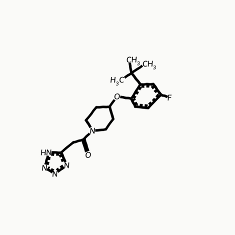 CC(C)(C)c1cc(F)ccc1OC1CCN(C(=O)Cc2nnn[nH]2)CC1